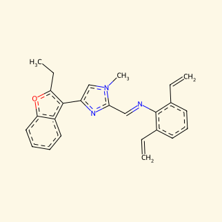 C=Cc1cccc(C=C)c1/N=C/c1nc(-c2c(CC)oc3ccccc23)cn1C